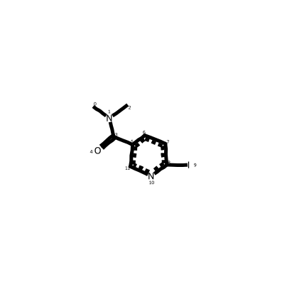 CN(C)C(=O)c1ccc(I)nc1